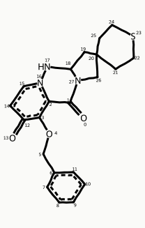 O=C1c2c(OCc3ccccc3)c(=O)ccn2NC2CC3(CCSCC3)CN12